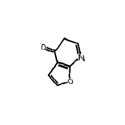 O=C1CC=Nc2occc21